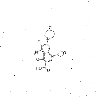 Nc1c(F)c(N2CCNCC2)cc2c1c(=O)c(C(=O)O)cn2C1COC1